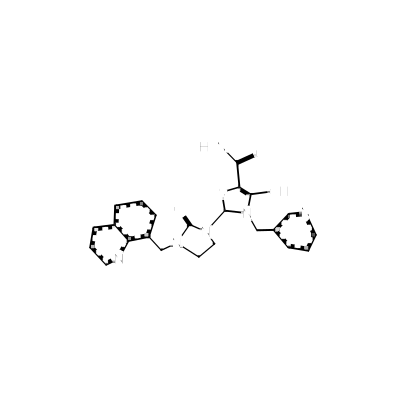 CC1=C(C(N)=O)SC(N2CCN(Cc3cccc4cccnc34)C2=O)N1Cc1cccnc1